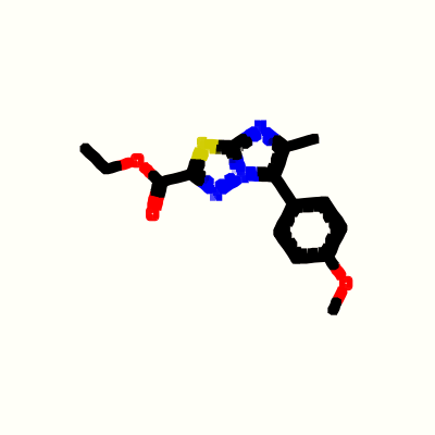 CCOC(=O)c1nn2c(-c3ccc(OC)cc3)c(C)nc2s1